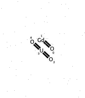 [O]=[Gd].[O]=[U]=[O]